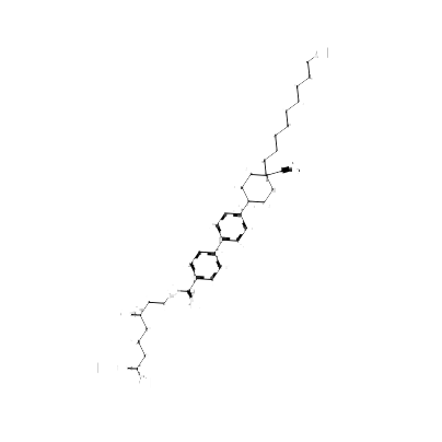 CCCCCCCCCCC1(C#N)CCC(c2ccc(-c3ccc(C(=O)OCCC(C)CCCC(C)C)cc3)cc2)CC1